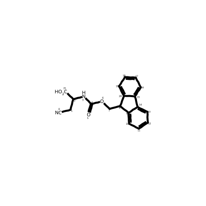 N#CCC(NC(=O)OCC1c2ccccc2-c2ccccc21)C(=O)O